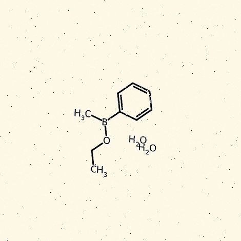 CCOB(C)c1ccccc1.O.O